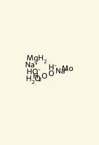 O.O.[MgH2].[Mo].[Na+].[Na+].[OH-].[OH-]